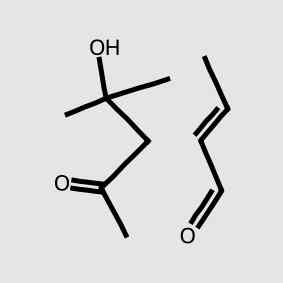 CC(=O)CC(C)(C)O.CC=CC=O